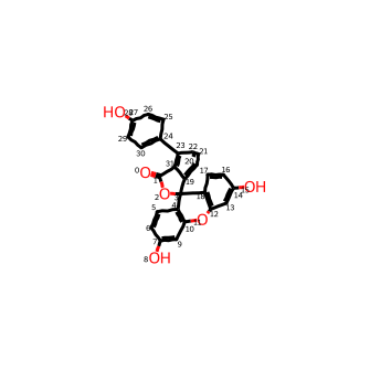 O=C1OC2(c3ccc(O)cc3Oc3cc(O)ccc32)c2cccc(-c3ccc(O)cc3)c21